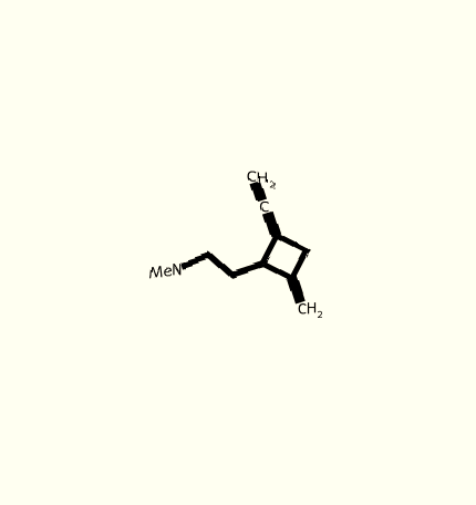 C=C=C1CC(=C)C1CCNC